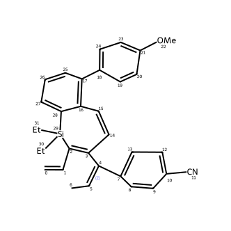 C=CC1=C(/C(=C\C)c2ccc(C#N)cc2)C=Cc2c(-c3ccc(OC)cc3)cccc2[Si]1(CC)CC